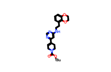 CC(C)(C)OC(=O)N1CC=C(c2cc(NCCc3cccc4c3OCCO4)ncn2)CC1